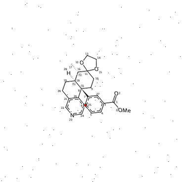 COC(=O)c1cccc([C@]23CCC4(OCCO4)[C@@H](C)[C@@H]2CCc2cncnc23)c1